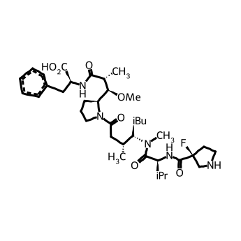 CC[C@H](C)[C@@H]([C@H](C)CC(=O)N1CCC[C@H]1[C@H](OC)[C@@H](C)C(=O)N[C@@H](Cc1ccccc1)C(=O)O)N(C)C(=O)[C@@H](NC(=O)[C@]1(F)CCNC1)C(C)C